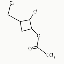 O=C(OC1CC(CCl)C1Cl)C(Cl)(Cl)Cl